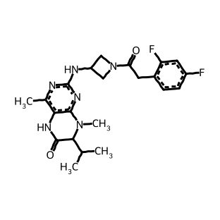 Cc1nc(NC2CN(C(=O)Cc3ccc(F)cc3F)C2)nc2c1NC(=O)C(C(C)C)N2C